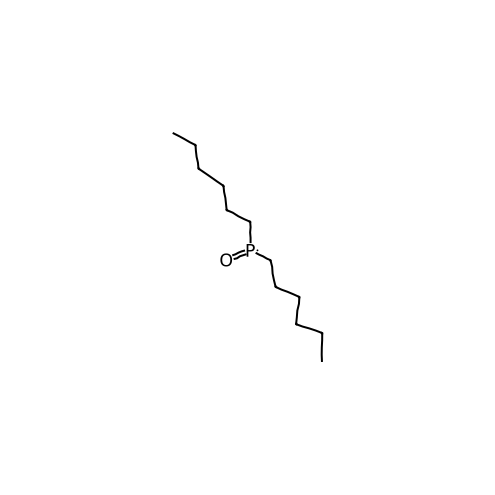 CCCCCC[P](=O)CCCCCC